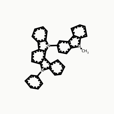 Cn1c2ccccc2c2cc(-n3c4ccccc4c4ccc5c(c6ccccc6n5-c5ccccc5)c43)ccc21